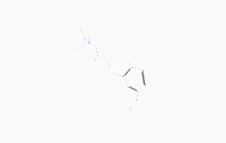 CN(C)CCCOc1cccc(CCl)c1